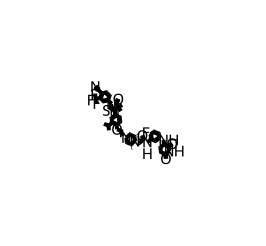 CC(C)c1cc(N2C(=S)N(c3ccc(C#N)c(C(F)(F)F)c3)C(=O)C2(C)C)ccc1OCCN1C[C@@H](C)N(CC(=O)Nc2cc(NC3CCC(=O)NC3=O)ccc2F)[C@@H](C)C1